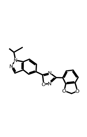 CC(C)n1ncc2cc(-c3nc(-c4cccc5c4OCO5)no3)ccc21